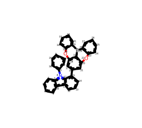 c1ccc(-n2c3ccccc3c3cccc(-c4cc5c6c(c4)Oc4ccccc4B6c4ccccc4O5)c32)cc1